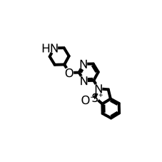 [O-][S+]1c2ccccc2CN1c1ccnc(OC2CCNCC2)n1